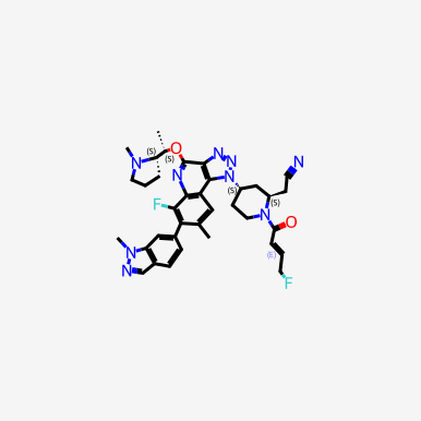 Cc1cc2c(nc(O[C@@H](C)[C@@H]3CCCN3C)c3nnn([C@H]4CCN(C(=O)/C=C/CF)[C@H](CC#N)C4)c32)c(F)c1-c1ccc2cnn(C)c2c1